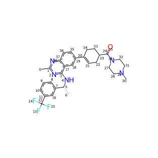 Cc1nc(N[C@H](C)c2cccc(C(F)(F)F)c2)c2cc(C3=CCC(C(=O)N4CCN(C)CC4)CC3)ccc2n1